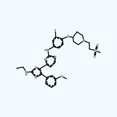 CCNc1nc(-c2cccc(OC)c2)c(-c2ccnc(Nc3ccc(OC4CCN(CCS(C)(=O)=O)CC4)c(F)c3)n2)s1